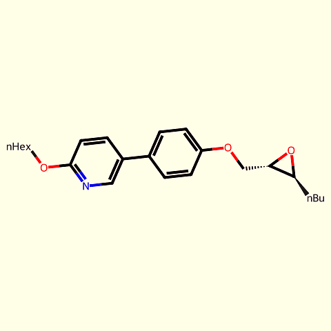 CCCCCCOc1ccc(-c2ccc(OC[C@@H]3O[C@H]3CCCC)cc2)cn1